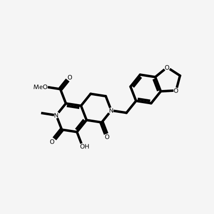 COC(=O)c1c2c(c(O)c(=O)n1C)C(=O)N(Cc1ccc3c(c1)OCO3)CC2